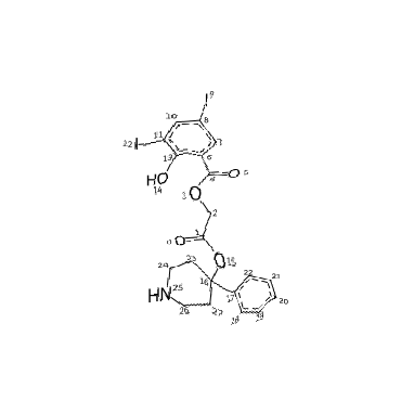 O=C(COC(=O)c1cc(I)cc(I)c1O)OC1(c2ccccc2)CCNCC1